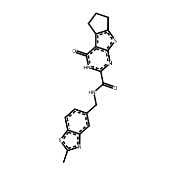 Cc1nc2cc(CNC(=O)c3nc4sc5c(c4c(=O)[nH]3)CCC5)ccc2s1